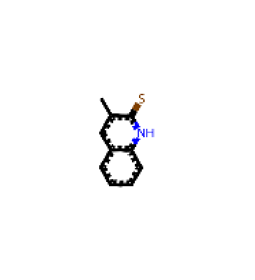 Cc1cc2ccccc2[nH]c1=S